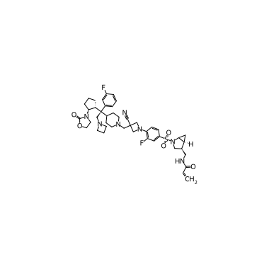 C=CC(=O)NC[C@H]1CN(S(=O)(=O)c2ccc(N3CC(C#N)(CN4CCC([C@@](CN5CCC5)(c5cccc(F)c5)[C@H]5CCC[C@@H]5N5CCOC5=O)CC4)C3)c(F)c2)C2C[C@H]21